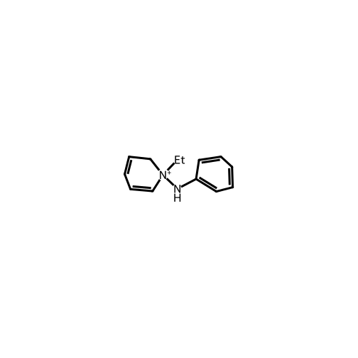 CC[N+]1(Nc2ccccc2)C=CC=CC1